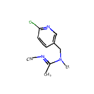 [C-]#[N+]N=C(C)N(CC)Cc1ccc(Cl)nc1